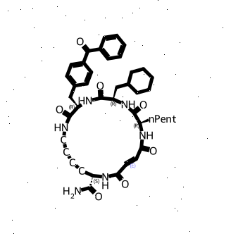 CCCCC[C@H]1NC(=O)/C=C/C(=O)N[C@H](C(N)=O)CCCCNC(=O)[C@@H](Cc2ccc(C(=O)c3ccccc3)cc2)NC(=O)[C@@H](CC2CCCCC2)NC1=O